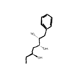 CC[C@H](O)C[C@@H](O)[C@H](O)Cc1ccccc1